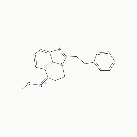 CO/N=C1/CCn2c(CCc3ccccc3)nc3cccc1c32